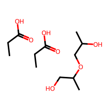 CC(O)COC(C)CO.CCC(=O)O.CCC(=O)O